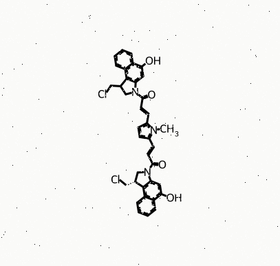 Cn1c(/C=C/C(=O)N2CC(CCl)c3c2cc(O)c2ccccc32)ccc1/C=C/C(=O)N1C[C@@H](CCl)c2c1cc(O)c1ccccc21